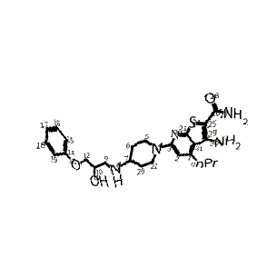 CCCc1cc(N2CCC(NCC(O)COc3ccccc3)CC2)nc2sc(C(N)=O)c(N)c12